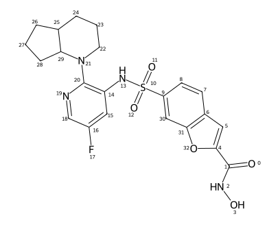 O=C(NO)c1cc2ccc(S(=O)(=O)Nc3cc(F)cnc3N3CCCC4CCCC43)cc2o1